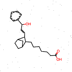 O=C(O)CCCCCCC1C2CCC(C2)C1C=CC(O)c1ccccc1